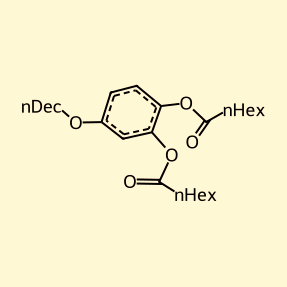 CCCCCCCCCCOc1ccc(OC(=O)CCCCCC)c(OC(=O)CCCCCC)c1